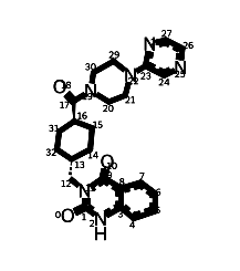 O=c1[nH]c2ccccc2c(=O)n1C[C@H]1CC[C@H](C(=O)N2CCN(c3cnccn3)CC2)CC1